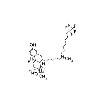 CN(CCCCCCCC(F)(F)C(F)(F)F)CCCCCC1Cc2cc(O)ccc2[C@@H]2[C@@H]1[C@@H]1CC[C@@](C)(O)[C@@]1(C)C[C@@H]2F